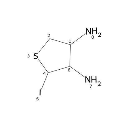 NC1CSC(I)C1N